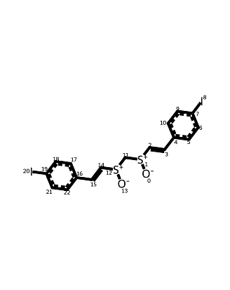 [O-][S+](C=Cc1ccc(I)cc1)C[S+]([O-])C=Cc1ccc(I)cc1